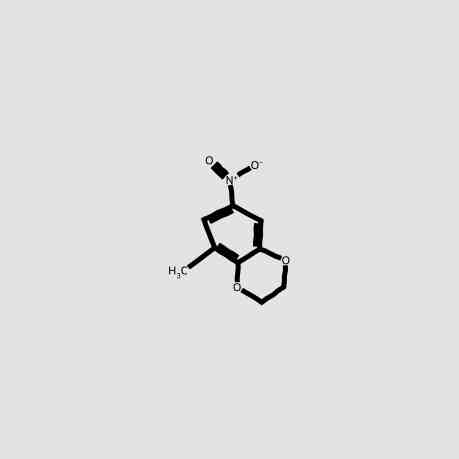 Cc1cc([N+](=O)[O-])cc2c1OCCO2